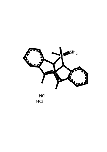 CC1=C(C)[CH]([Ti]([CH3])([CH3])(=[SiH2])[CH]2C(C)=C(C)c3ccccc32)c2ccccc21.Cl.Cl